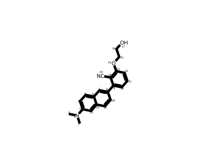 CN(C)c1ccc2cc(-c3cccc(OCCO)c3C#N)ccc2c1